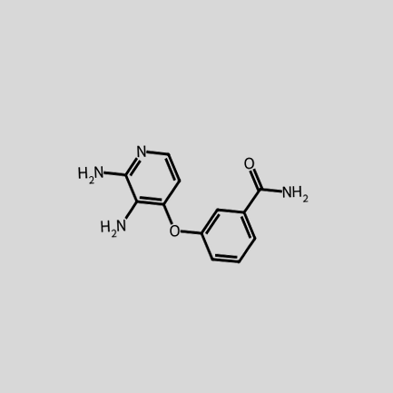 NC(=O)c1cccc(Oc2ccnc(N)c2N)c1